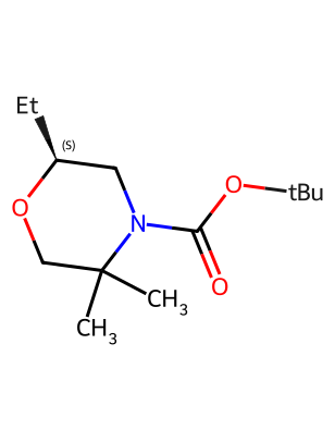 CC[C@H]1CN(C(=O)OC(C)(C)C)C(C)(C)CO1